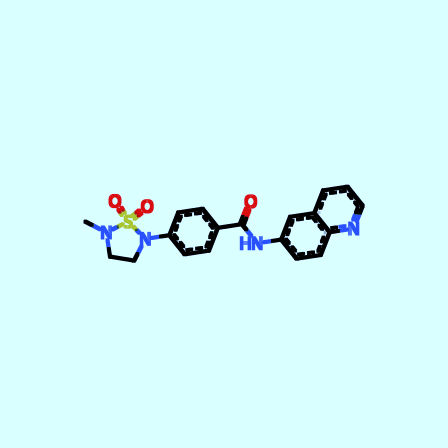 CN1CCN(c2ccc(C(=O)Nc3ccc4ncccc4c3)cc2)S1(=O)=O